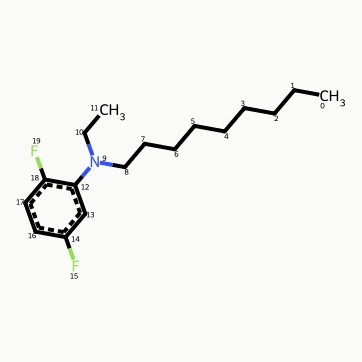 CCCCCCCCCN(CC)c1cc(F)ccc1F